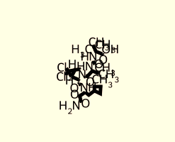 CC(C)(C)[C@H](NC(=O)N[C@H](C(=O)N1C[C@H]2[C@@H]([C@H]1C(=O)NC(CC1CCC1)C(=O)C(N)=O)C2(Cl)Cl)C(C)(C)C)C(=O)O